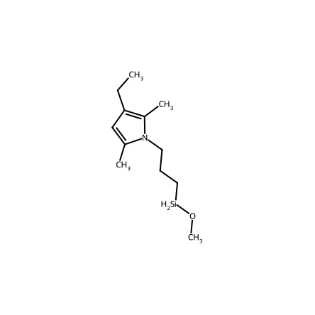 CCc1cc(C)n(CCC[SiH2]OC)c1C